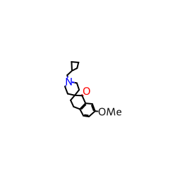 COc1ccc2c(c1)C(=O)C1(CC2)CCN(CC2CCC2)CC1